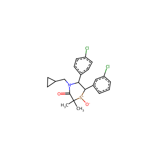 CC1(C)C(=O)N(CC2CC2)C(c2ccc(Cl)cc2)C(c2cccc(Cl)c2)[S+]1[O-]